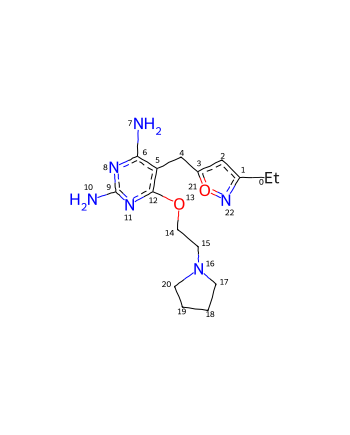 CCc1cc(Cc2c(N)nc(N)nc2OCCN2CCCC2)on1